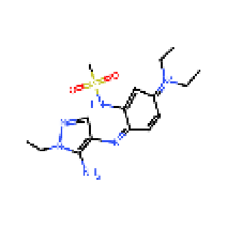 CCn1ncc(/N=C2/C=CC(=[N+](CC)CC)C=C2NS(C)(=O)=O)c1N